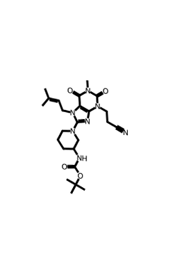 CC(C)=CCn1c(N2CCCC(NC(=O)OC(C)(C)C)C2)nc2c1c(=O)n(C)c(=O)n2CCC#N